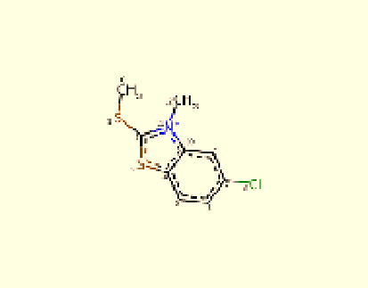 CSc1sc2ccc(Cl)cc2[n+]1C